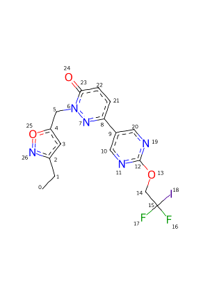 CCc1cc(Cn2nc(-c3cnc(OCC(F)(F)I)nc3)ccc2=O)on1